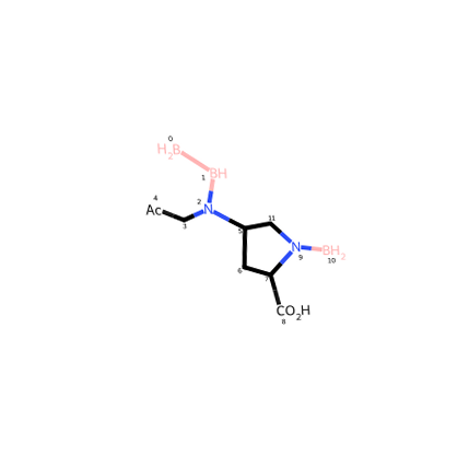 BBN(CC(C)=O)C1CC(C(=O)O)N(B)C1